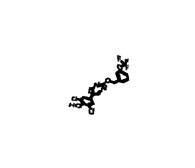 Oc1c(Cl)cc(-c2cnc(OCc3cccc(OC(F)(F)F)c3)nn2)cc1Cl